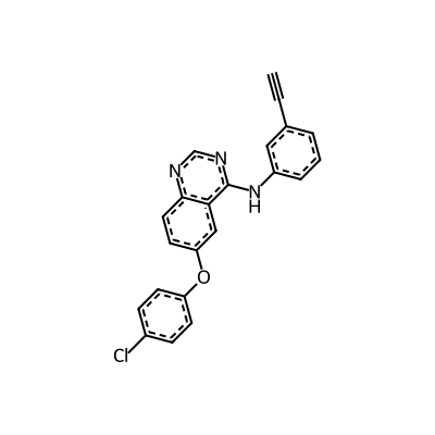 C#Cc1cccc(Nc2ncnc3ccc(Oc4ccc(Cl)cc4)cc23)c1